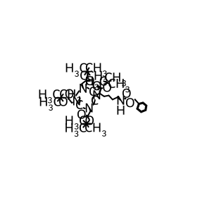 CC(C)(C)OC(=O)CN1CCN(CC(=O)OC(C)(C)C)CCN(C(CCCCNC(=O)OCc2ccccc2)C(=O)OC(C)(C)C)CCN(CC(=O)OC(C)(C)C)CC1